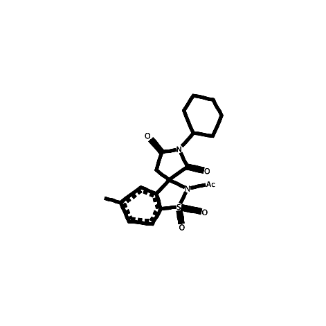 CC(=O)N1C2(CC(=O)N(C3CCCCC3)C2=O)c2cc(C)ccc2S1(=O)=O